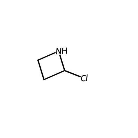 ClC1CCN1